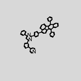 c1ccc(-c2cc(-c3cccc(-c4ccncc4)c3)nc(-c3ccc(-c4ccc5c6c(cccc46)-c4c-5c(-c5ccccc5)c5ccccc5c4-c4ccccc4)cc3)n2)cc1